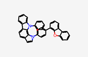 c1ccc(-n2c3ccccc3c3ccc4ccn(-c5ccc(-c6cccc7c6oc6ccccc67)cc5)c4c32)cc1